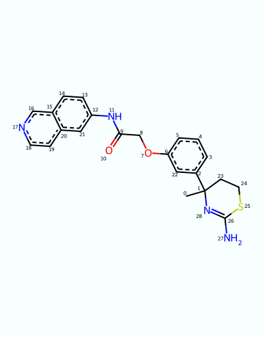 CC1(c2cccc(OCC(=O)Nc3ccc4cnccc4c3)c2)CCSC(N)=N1